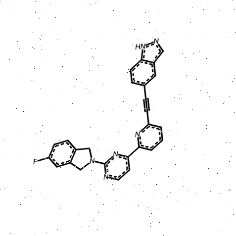 Fc1ccc2c(c1)CN(c1nccc(-c3cccc(C#Cc4ccc5[nH]ncc5c4)n3)n1)C2